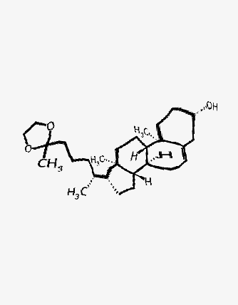 C[C@H](CCCC1(C)OCCO1)[C@H]1CC[C@H]2[C@@H]3CC=C4C[C@@H](O)CC[C@]4(C)[C@H]3CC[C@]12C